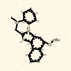 CCCCOc1cc2[nH]c(CN(C)c3ccccc3)nc2c2ccccc12